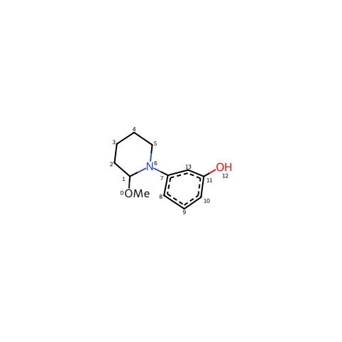 COC1CCCCN1c1cccc(O)c1